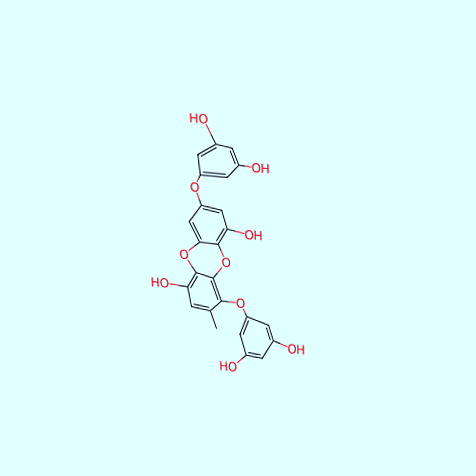 Cc1cc(O)c2c(c1Oc1cc(O)cc(O)c1)Oc1c(O)cc(Oc3cc(O)cc(O)c3)cc1O2